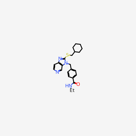 CCNC(=O)c1ccc(Cn2c(SCC3CCCCC3)nc3ccncc32)cc1